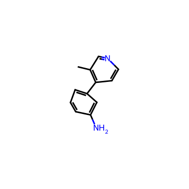 Cc1cnccc1-c1cccc(N)c1